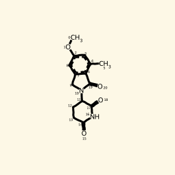 COc1cc(C)c2c(c1)CN(C1CCC(=O)NC1=O)C2=O